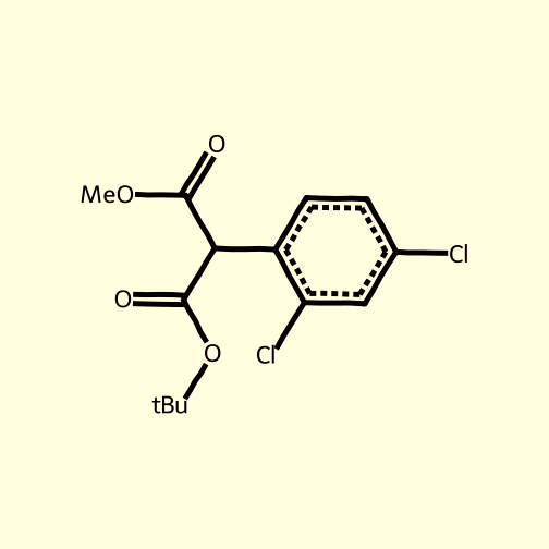 COC(=O)C(C(=O)OC(C)(C)C)c1ccc(Cl)cc1Cl